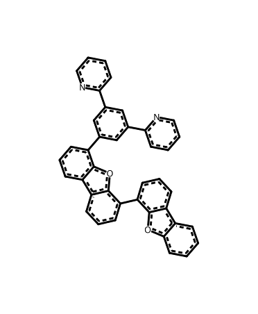 c1ccc(-c2cc(-c3ccccn3)cc(-c3cccc4c3oc3c(-c5cccc6c5oc5ccccc56)cccc34)c2)nc1